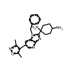 Cc1noc(C)c1-c1cnc2nc(C3(N)CCC(N)CC3)n(Cc3ccccc3)c2c1